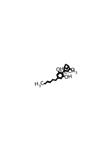 CC/C=C/CCc1cc(O)c(C2CC(=O)C3CC2C3(C)C)c(O)c1